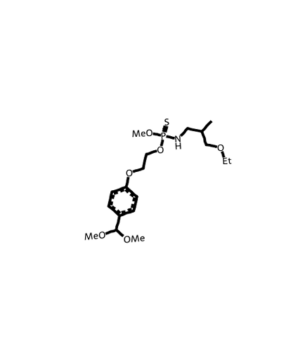 CCOCC(C)CNP(=S)(OC)OCCOc1ccc(C(OC)OC)cc1